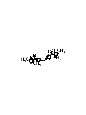 Cc1ccc(C)c2c1OC(=O)C2c1ccc(COCc2ccc(C3C(=O)Oc4c(C)ccc(C)c43)cc2)cc1